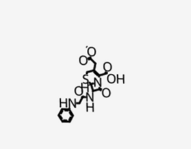 COC(=O)CC1=C(C(=O)O)N2C(=O)[C@@H](NC(=O)CNc3ccccc3)[C@H]2SC1